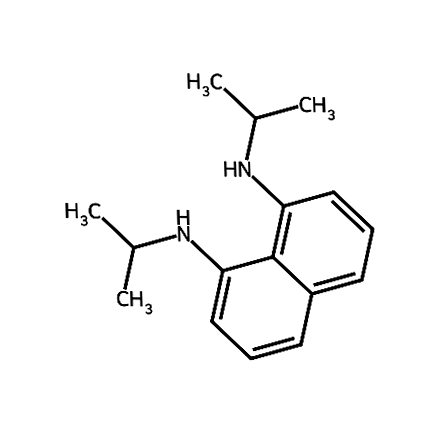 CC(C)Nc1cccc2cccc(NC(C)C)c12